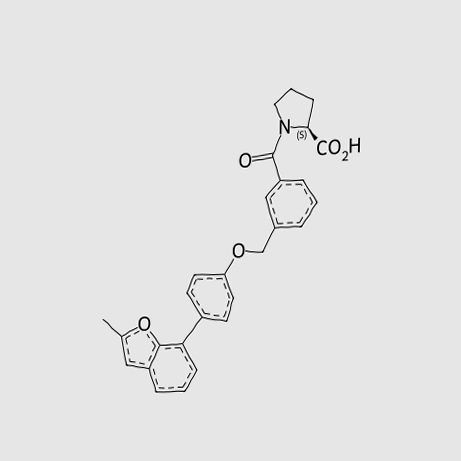 Cc1cc2cccc(-c3ccc(OCc4cccc(C(=O)N5CCC[C@H]5C(=O)O)c4)cc3)c2o1